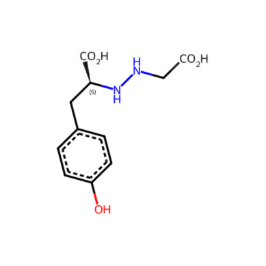 O=C(O)CNN[C@@H](Cc1ccc(O)cc1)C(=O)O